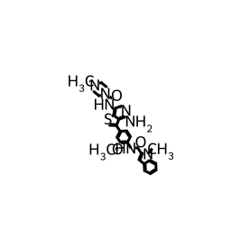 COc1cc(-c2csc3c(NC(=O)N4CCN(C)CC4)cnc(N)c23)ccc1NC(=O)c1cc2ccccc2n1C